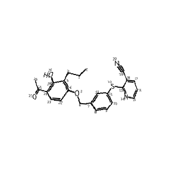 CCCc1c(OCc2cccc(Sc3ncccc3C#N)c2)ccc(C(C)=O)c1O